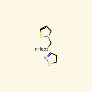 C1=NSCC1.CCCCCCCCN1CC=CS1